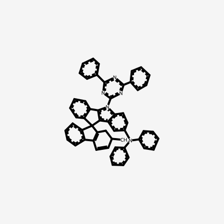 CC1C=CC2=C(C1)C1(c3ccccc32)c2ccccc2-c2c1c1cc(N(c3ccccc3)c3ccccc3)ccc1n2-c1nc(-c2ccccc2)nc(-c2ccccc2)n1